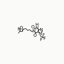 Cc1cc(CCCCn2c(=O)[nH]c3ncn(CC(F)(F)F)c3c2=O)on1